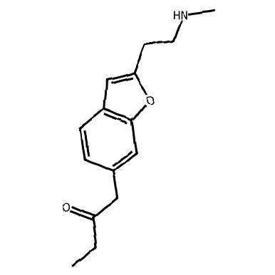 CCC(=O)Cc1ccc2cc(CCNC)oc2c1